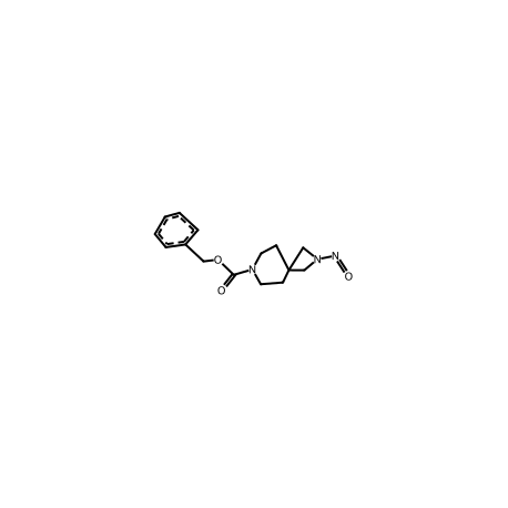 O=NN1CC2(CCN(C(=O)OCc3ccccc3)CC2)C1